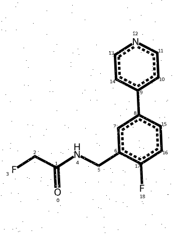 O=C(CF)NCc1cc(-c2ccncc2)ccc1F